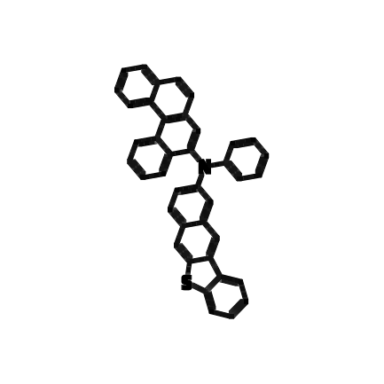 c1ccc(N(c2ccc3cc4sc5ccccc5c4cc3c2)c2cc3ccc4ccccc4c3c3ccccc23)cc1